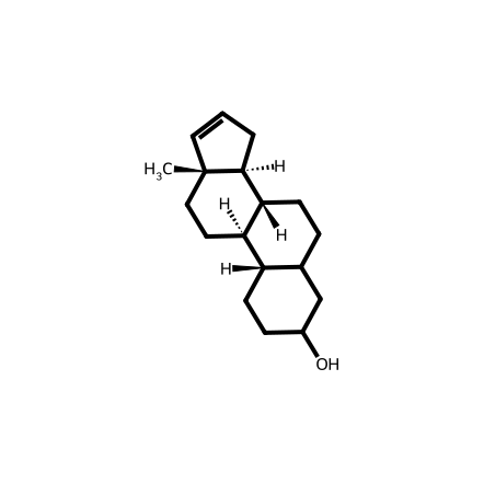 C[C@@]12C=CC[C@H]1[C@@H]1CCC3CC(O)CC[C@@H]3[C@H]1CC2